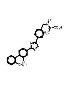 CCN(Cc1ccc(-c2noc(-c3ccc(-c4ccccc4C)c(C(F)(F)F)c3)n2)cc1)[C@H](C)C(=O)O